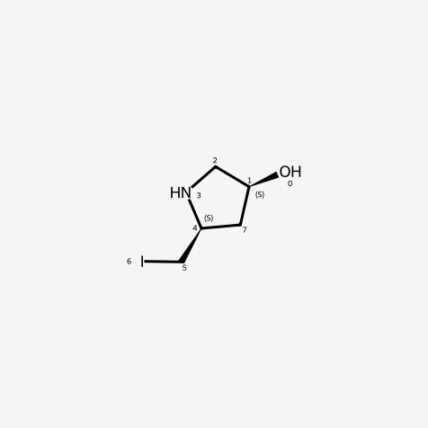 O[C@@H]1CN[C@H](CI)C1